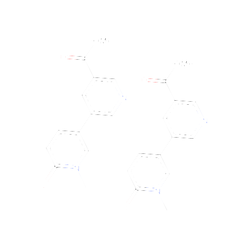 COC(=O)c1cncc(-c2ccc(=O)n(C)c2)c1.COC(=O)c1cncc(-c2ccc(=O)n(C)c2)c1